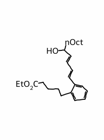 CCCCCCCCC(O)/C=C/C=C/c1ccccc1CCCCC(=O)OCC